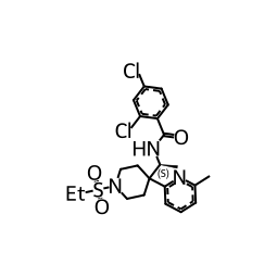 CCS(=O)(=O)N1CCC(c2cccc(C)n2)([C@H](C)NC(=O)c2ccc(Cl)cc2Cl)CC1